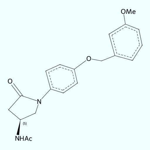 COc1cccc(COc2ccc(N3C[C@@H](NC(C)=O)CC3=O)cc2)c1